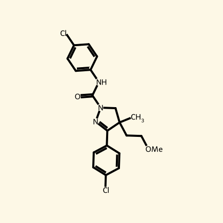 COCCC1(C)CN(C(=O)Nc2ccc(Cl)cc2)N=C1c1ccc(Cl)cc1